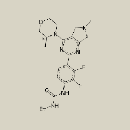 CCNC(=O)Nc1ccc(-c2nc3c(c(N4CCOC[C@@H]4C)n2)CN(C)C3)c(F)c1F